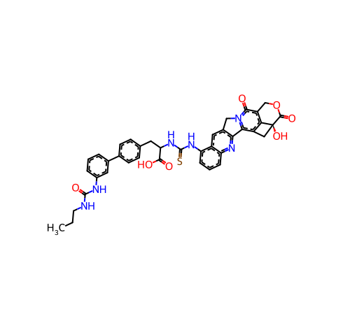 CCCNC(=O)Nc1cccc(-c2ccc(CC(NC(=S)Nc3cccc4nc5c(cc34)Cn3c-5c4c5c(c3=O)COC(=O)[C@]5(O)C4)C(=O)O)cc2)c1